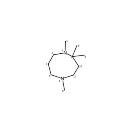 CN1CCCN(C)C(C)(C)CC1